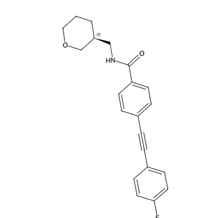 O=C(NC[C@@H]1CCCOC1)c1ccc(C#Cc2ccc(F)cc2)cc1